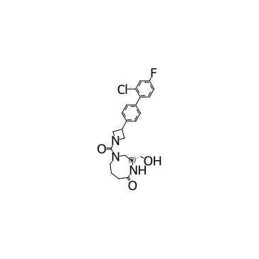 O=C1CCCN(C(=O)N2CC(c3ccc(-c4ccc(F)cc4Cl)cc3)C2)C[C@H](CO)N1